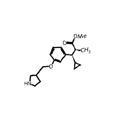 COC(=O)[C@@H](C)[C@H](c1cccc(OCC2CCNC2)c1)C1CC1